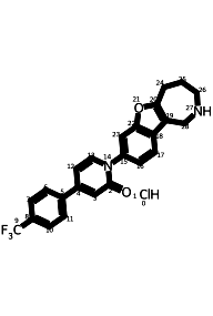 Cl.O=c1cc(-c2ccc(C(F)(F)F)cc2)ccn1-c1ccc2c3c(oc2c1)CCCNC3